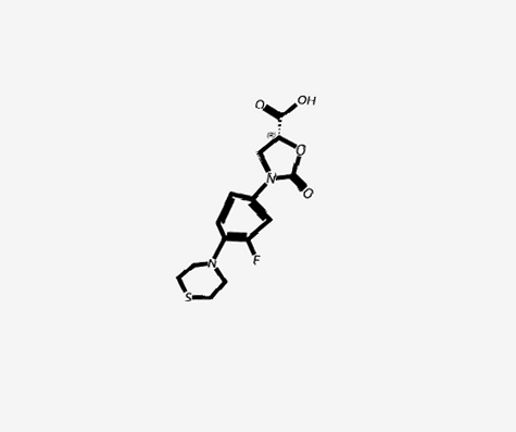 O=C(O)[C@H]1CN(c2ccc(N3CCSCC3)c(F)c2)C(=O)O1